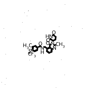 Cc1cc(C(=O)NCc2cccc3nc(C)n(C4CCC(=O)NC4=O)c(=O)c23)ccc1SC(F)(F)F